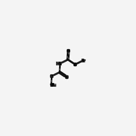 CC(C)(C)OC(=O)NC(=O)OBr